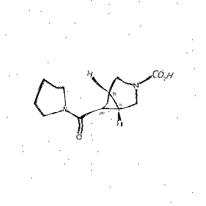 O=C(O)N1C[C@@H]2[C@H](C1)[C@H]2C(=O)N1CCCC1